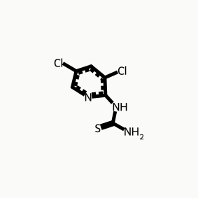 NC(=S)Nc1ncc(Cl)cc1Cl